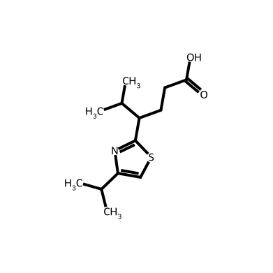 CC(C)c1csc(C(CCC(=O)O)C(C)C)n1